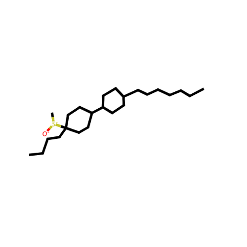 CCCCCCCC1CCC(C2CCC(CCCC)([S+](C)[O-])CC2)CC1